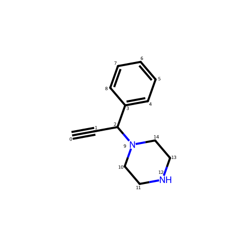 C#CC(c1ccccc1)N1CCNCC1